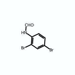 O=[C]Nc1ccc(Br)cc1Br